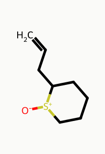 C=CCC1CCCC[S+]1[O-]